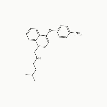 CC(C)CCNCc1ccc(Oc2ccc(N)cc2)c2ccccc12